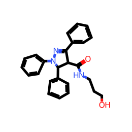 O=C(NCCCO)C1C(c2ccccc2)=NN(c2ccccc2)C1c1ccccc1